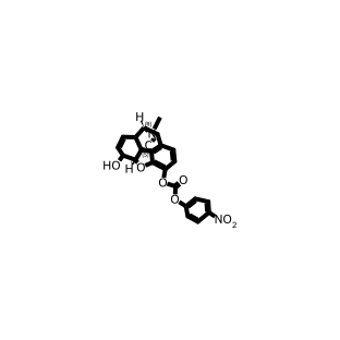 CN1CC[C@]23c4c5ccc(OC(=O)Oc6ccc([N+](=O)[O-])cc6)c4O[C@H]2C(O)C=CC3[C@H]1C5